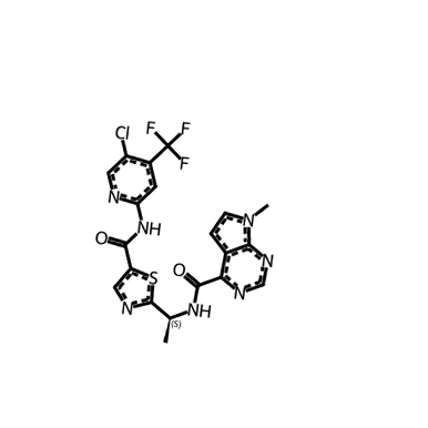 C[C@H](NC(=O)c1ncnc2c1ccn2C)c1ncc(C(=O)Nc2cc(C(F)(F)F)c(Cl)cn2)s1